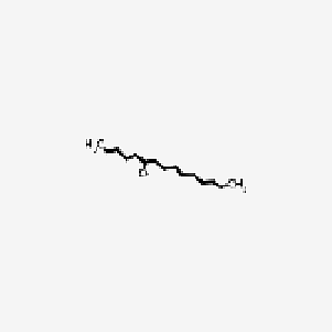 CCCCCCCCCC([O])CCCCC